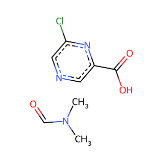 CN(C)C=O.O=C(O)c1cncc(Cl)n1